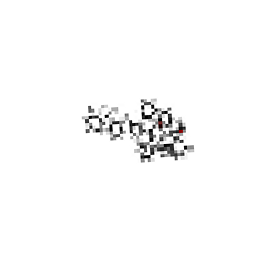 CC1(C)c2ccccc2-c2ccc(-c3cc(-c4ccccc4-c4cccc5c4C(C)(C)c4ccccc4C54c5ccccc5Sc5ccccc54)nc(-c4ccccc4)n3)cc21